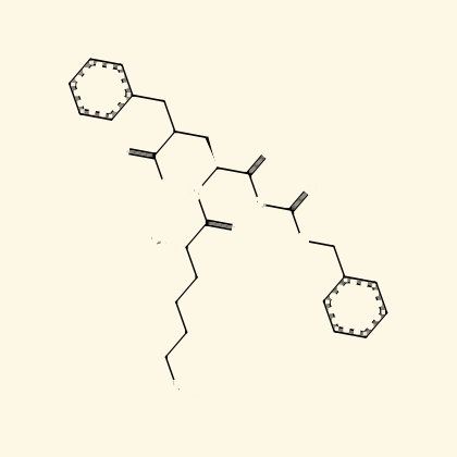 NCCCC[C@H](N)C(=O)N[C@@H](CC(Cc1ccccc1)C(=O)O)C(=O)NC(=O)OCc1ccccc1